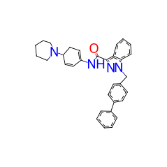 O=C(NC1=CCC(N2CCCCC2)C=C1)c1nn(Cc2ccc(-c3ccccc3)cc2)c2ccccc12